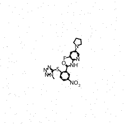 Cn1nnnc1Sc1ccc([N+](=O)[O-])cc1C(=O)Nc1ncc(N2CCCC2)cc1F